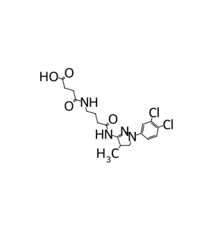 CC1CN(c2ccc(Cl)c(Cl)c2)N=C1NC(=O)CCCNC(=O)CCC(=O)O